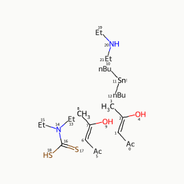 CC(=O)/C=C(/C)O.CC(=O)/C=C(/C)O.CCC[CH2][Sn][CH2]CCC.CCN(CC)C(=S)S.CCNCC